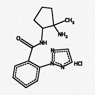 CC1(N)CCCC1NC(=O)c1ccccc1-n1nccn1.Cl